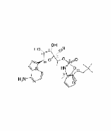 CC(O[P@@](=O)(N[C@@H](C)C(=O)OCC(C)(C)C)Oc1ccccc1)[C@@]1(C#N)O[C@@H](c2ccc3c(N)ncnn23)[C@H](O)[C@@H]1O